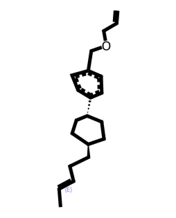 C=CCOCc1ccc([C@H]2CC[C@H](CC/C=C/C)CC2)cc1